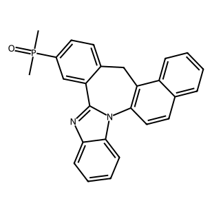 CP(C)(=O)c1ccc2c(c1)-c1nc3ccccc3n1-c1ccc3ccccc3c1C2